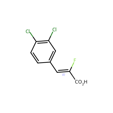 O=C(O)/C(F)=C/c1ccc(Cl)c(Cl)c1